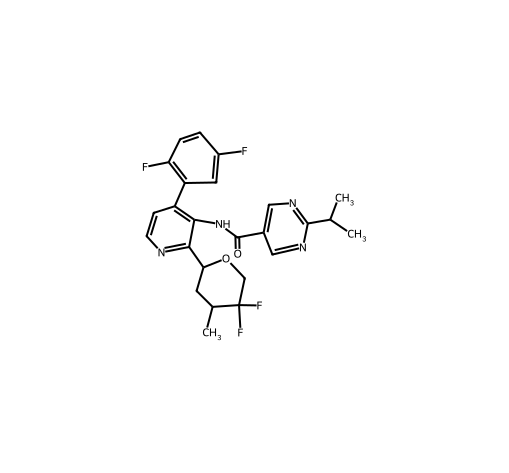 CC(C)c1ncc(C(=O)Nc2c(-c3cc(F)ccc3F)ccnc2C2CC(C)C(F)(F)CO2)cn1